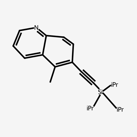 Cc1c(C#C[Si](C(C)C)(C(C)C)C(C)C)ccc2ncccc12